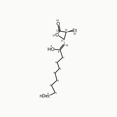 CCCCCCCCCCCCCCCCC/C(O)=C/[C@@H]1OC(=O)[C@H]1CC